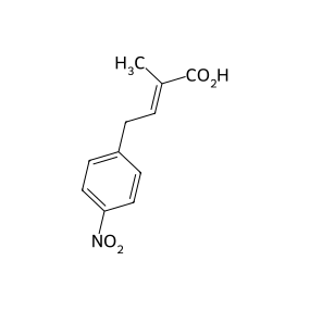 CC(=CCc1ccc([N+](=O)[O-])cc1)C(=O)O